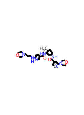 Cc1ccc(NC(=O)c2ccnc(N3CCOCC3)c2)cc1NC(=O)c1ccc(NCCCN2CCOCC2)nc1